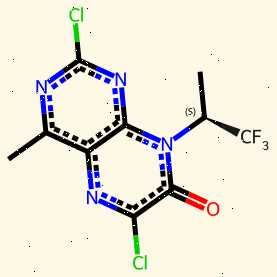 Cc1nc(Cl)nc2c1nc(Cl)c(=O)n2[C@@H](C)C(F)(F)F